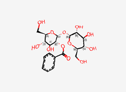 O=C(O[C@H]1[C@@H](O[C@H]2O[C@H](CO)[C@@H](O)[C@H](O)[C@H]2O)O[C@H](CO)[C@@H](O)[C@@H]1O)c1ccccc1